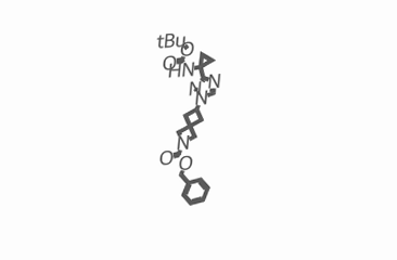 CC(C)(C)OC(=O)NC1(c2ncn(C3CC4(C3)CN(C(=O)OCc3ccccc3)C4)n2)CC1